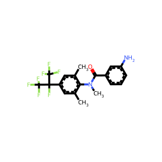 Cc1cc(C(F)(C(F)(F)F)C(F)(F)F)cc(C)c1N(C)C(=O)c1cccc(N)c1